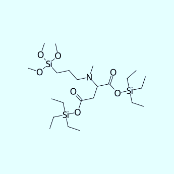 CC[Si](CC)(CC)OC(=O)CC(C(=O)O[Si](CC)(CC)CC)N(C)CCC[Si](OC)(OC)OC